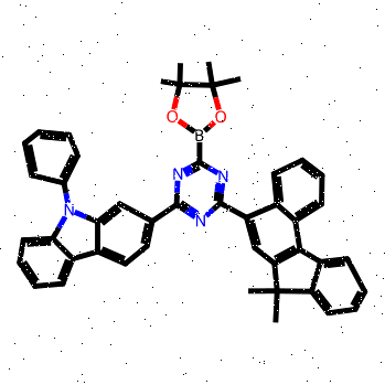 CC1(C)c2ccccc2-c2c1cc(-c1nc(B3OC(C)(C)C(C)(C)O3)nc(-c3ccc4c5ccccc5n(-c5ccccc5)c4c3)n1)c1ccccc21